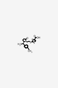 CCc1ccc(C(N)[C@H]2CCC(=O)N2CCSc2nc(C(=O)O)cs2)cc1